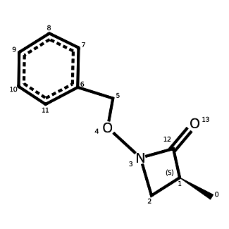 C[C@H]1CN(OCc2ccccc2)C1=O